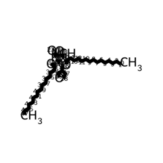 CCCCCCCCCCCCCCCC(=O)N(C)C(=N[N+](=O)[O-])N(CC1CCOC1)C(=O)CCCCCCCCCCCCCCC